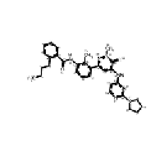 CCCCc1ccccc1C(=O)Nc1cccc(-c2cc(Nc3ccnc(N4CCCC4)n3)c(=O)n(C)n2)c1C